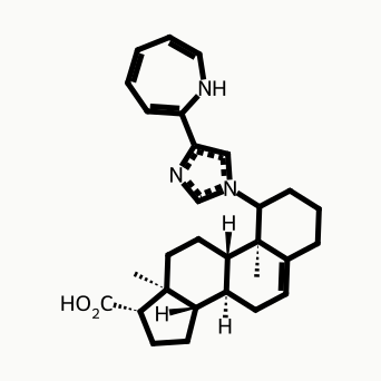 C[C@]12CC[C@H]3[C@@H](CC=C4CCCC(n5cnc(C6=CC=CC=CN6)c5)[C@@]43C)[C@@H]1CC[C@@H]2C(=O)O